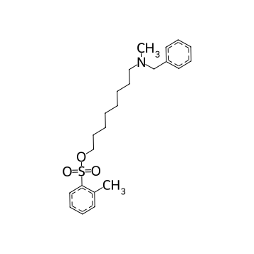 Cc1ccccc1S(=O)(=O)OCCCCCCCCN(C)Cc1ccccc1